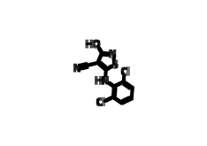 N#Cc1c(O)nsc1Nc1c(Cl)cccc1Cl